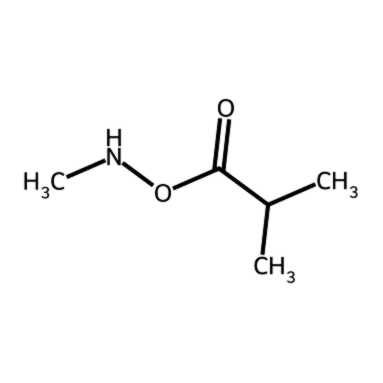 CNOC(=O)C(C)C